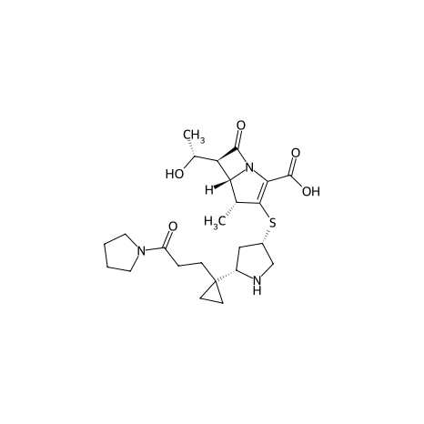 C[C@@H](O)[C@H]1C(=O)N2C(C(=O)O)=C(S[C@@H]3CN[C@H](C4(CCC(=O)N5CCCC5)CC4)C3)[C@H](C)[C@H]12